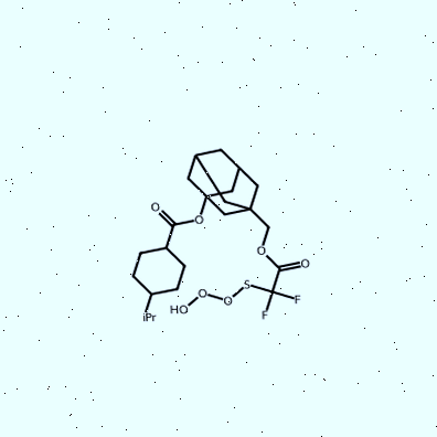 CC(C)C1CCC(C(=O)OC23CC4CC(CC(COC(=O)C(F)(F)SOOO)(C4)C2)C3)CC1